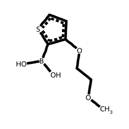 COCCOc1ccsc1B(O)O